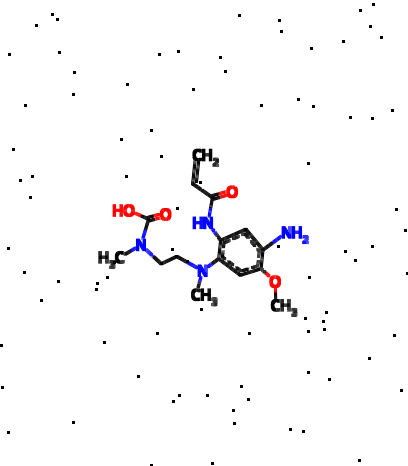 C=CC(=O)Nc1cc(N)c(OC)cc1N(C)CCN(C)C(=O)O